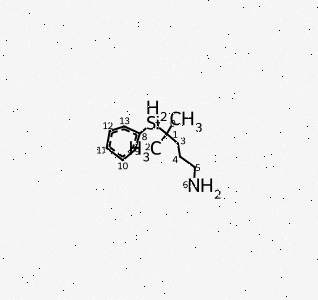 CC(C)(CCCN)[SiH2]c1ccccc1